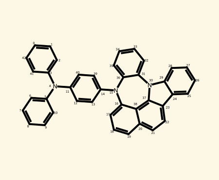 c1ccc(N(c2ccccc2)c2ccc(-n3c4cccc5ccc6c7ccccc7n(c7ccccc73)c6c54)cc2)cc1